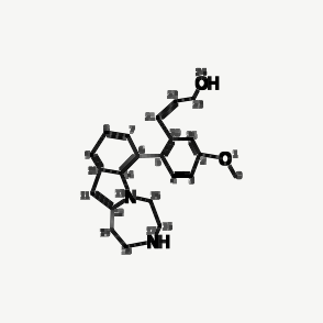 COc1ccc(-c2cccc3cc4n(c23)CCNCC4)c(/C=C\CO)c1